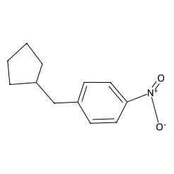 O=[N+]([O-])c1ccc(CC2CCCC2)cc1